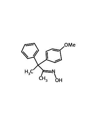 COc1ccc(C(C)(C(C)=NO)c2ccccc2)cc1